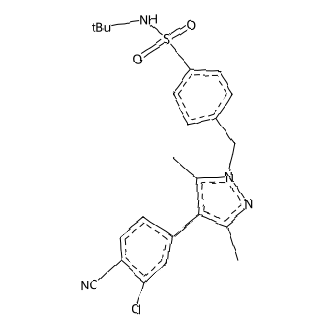 Cc1nn(Cc2ccc(S(=O)(=O)NC(C)(C)C)cc2)c(C)c1-c1ccc(C#N)c(Cl)c1